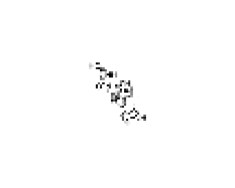 Cc1cc(-c2ccnc3[nH]cc(F)c23)cc(F)c1[C@@]1(O)[C@H](C)CN(C(=O)[C@@H]2C[C@@H](O)CN2)C[C@@H]1C